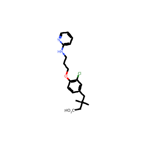 CC(C)(CC(=O)O)Cc1ccc(OCCCNc2ccccn2)c(Cl)c1